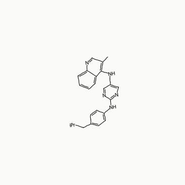 Cc1cnc2ccccc2c1Nc1cnc(Nc2ccc(CC(C)C)cc2)nc1